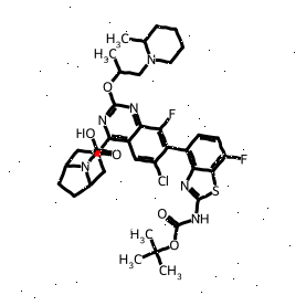 CC(CN1CCCCC1C)Oc1nc(N2CC3CCC(C2)N3C(=O)O)c2cc(Cl)c(-c3ccc(F)c4sc(NC(=O)OC(C)(C)C)nc34)c(F)c2n1